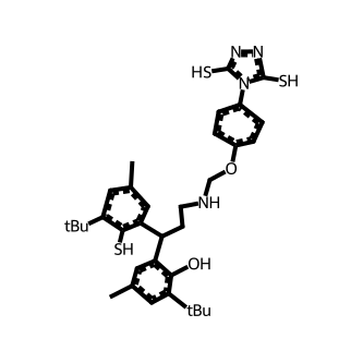 Cc1cc(C(CCNCOc2ccc(-n3c(S)nnc3S)cc2)c2cc(C)cc(C(C)(C)C)c2S)c(O)c(C(C)(C)C)c1